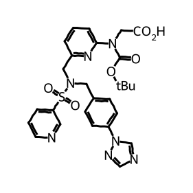 CC(C)(C)OC(=O)N(CC(=O)O)c1cccc(CN(Cc2ccc(-n3cncn3)cc2)S(=O)(=O)c2cccnc2)n1